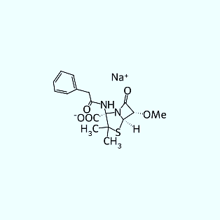 CO[C@H]1C(=O)N2[C@@H]1SC(C)(C)[C@]2(NC(=O)Cc1ccccc1)C(=O)[O-].[Na+]